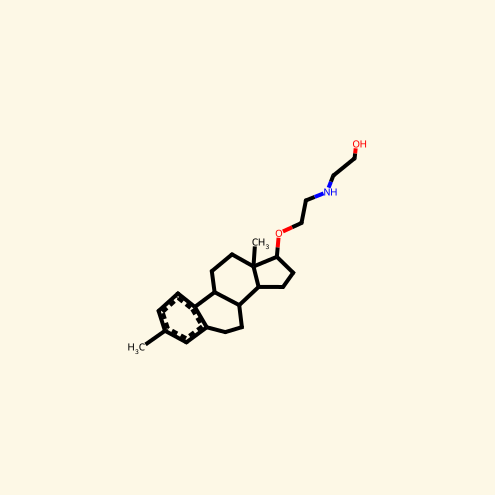 Cc1ccc2c(c1)CCC1C2CCC2(C)C(OCCNCCO)CCC12